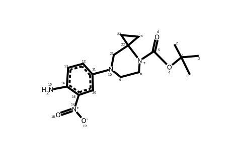 CC(C)(C)OC(=O)N1CCN(c2ccc(N)c([N+](=O)[O-])c2)CC12CC2